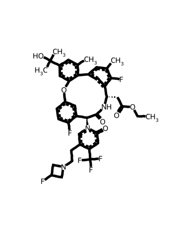 CCOC(=O)C[C@@H]1NC(=O)[C@@H](n2cc(CCN3CC(F)C3)c(C(F)(F)F)cc2=O)c2cc(ccc2F)Oc2cc(C(C)(C)O)cc(C)c2-c2cc(C)c(F)c1c2